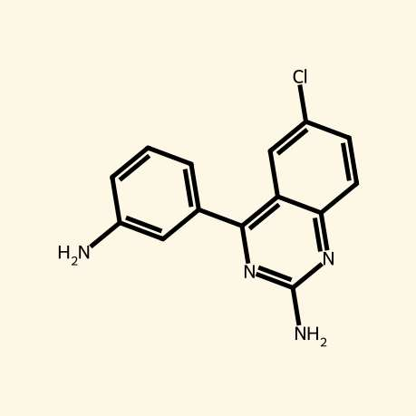 Nc1cccc(-c2nc(N)nc3ccc(Cl)cc23)c1